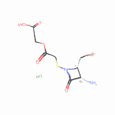 Cl.N[C@@H]1C(=O)N(SCC(=O)OCC(=O)O)[C@@H]1CBr